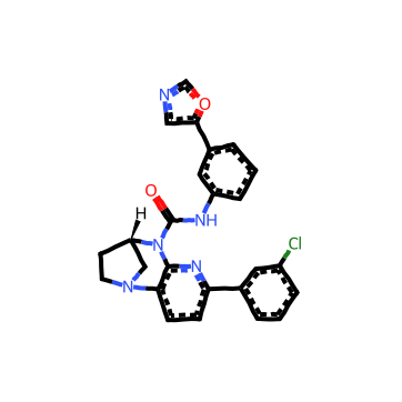 O=C(Nc1cccc(-c2cnco2)c1)N1c2nc(-c3cccc(Cl)c3)ccc2N2CC[C@H]1C2